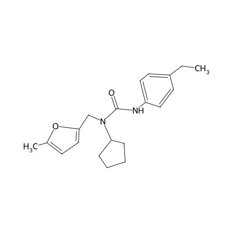 CCc1ccc(NC(=O)N(Cc2ccc(C)o2)C2CCCC2)cc1